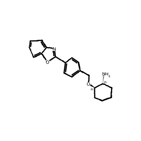 N[C@@H]1CCCC[C@H]1OCc1ccc(-c2nc3ccccc3o2)cc1